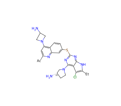 CCc1[nH]c2nc(Sc3ccc4c(N5CC(N)C5)cc(C(C)=O)nc4c3)nc(N3CC[C@H](N)C3)c2c1Cl